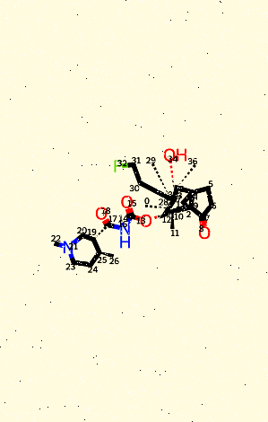 C[C@@H]1CCC23CCC(=O)C2[C@]1(C)[C@H](OC(=O)NC(=O)[C@H]1CN(C)CC[C@@H]1C)C[C@@](C)(CCF)[C@@H](O)[C@@H]3C